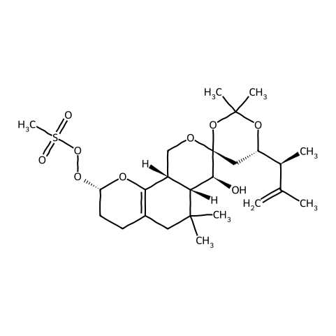 C=C(C)[C@H](C)[C@@H]1C[C@@]2(OC[C@H]3C4=C(CC[C@H](OOS(C)(=O)=O)O4)CC(C)(C)[C@H]3[C@@H]2O)OC(C)(C)O1